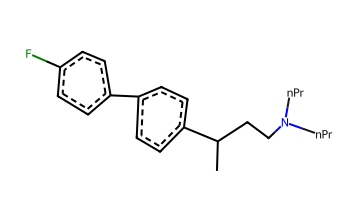 CCCN(CCC)CCC(C)c1ccc(-c2ccc(F)cc2)cc1